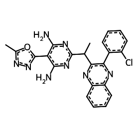 Cc1nnc(-c2c(N)nc(C(C)c3nc4ccccc4nc3-c3ccccc3Cl)nc2N)o1